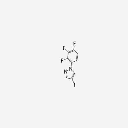 Fc1ccc(-n2cc(I)cn2)c(F)c1F